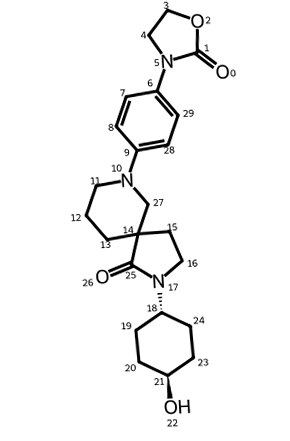 O=C1OCCN1c1ccc(N2CCCC3(CCN([C@H]4CC[C@H](O)CC4)C3=O)C2)cc1